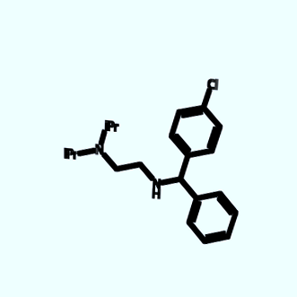 CC(C)N(CCNC(c1ccccc1)c1ccc(Cl)cc1)C(C)C